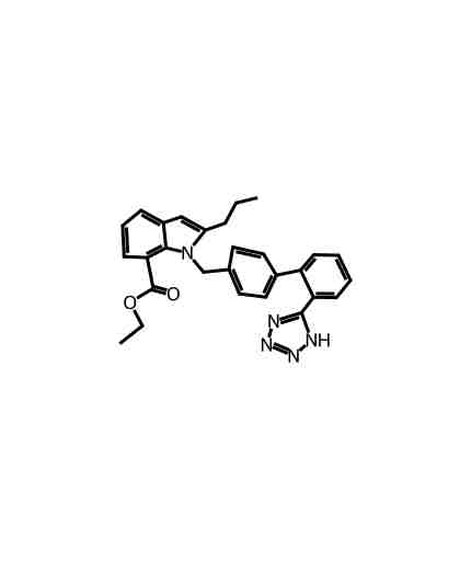 CCCc1cc2cccc(C(=O)OCC)c2n1Cc1ccc(-c2ccccc2-c2nnn[nH]2)cc1